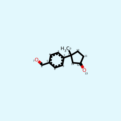 CC1(c2ccc(C=O)cc2)CCC(=O)C1